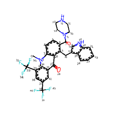 CN(C)c1ccc(C(=O)N2CCNCC2)c(Cc2c[nH]c3ccccc23)c1C(=O)c1cc(C(F)(F)F)cc(C(F)(F)F)c1